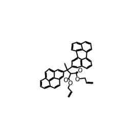 C=CCOC(=O)C(C(=O)OCC=C)C(C)(c1cc2ccc3cccc4ccc(c1)c2c34)c1cc2cccc3c4cccc5cccc(c(c1)c23)c54